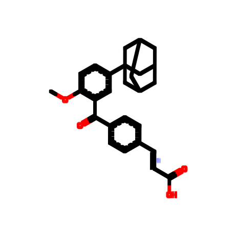 COc1ccc(C23CC4CC(CC(C4)C2)C3)cc1C(=O)c1ccc(/C=C/C(=O)O)cc1